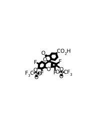 O=C(O)c1ccc2c(c1)C(=O)OC21c2cc(F)c(OS(=O)(=O)C(F)(F)F)c(F)c2Oc2c1cc(F)c(OS(=O)(=O)C(F)(F)F)c2F